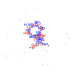 CCCC(C)OC(=O)c1ccc(C(=O)N[C@@H](CCN)C(=O)N[C@H](C(=O)N[C@@H](CCN)C(=O)N[C@H]2CCNC(=O)[C@H]([C@H](C)O)NC(=O)[C@H](CCN)NC(=O)[C@H](CCN)NC(=O)[C@H](CC(C)C)NC(=O)[C@@H](Cc3ccccc3)NC(=O)[C@H](CCCN)NC2=O)C(C)O)cc1